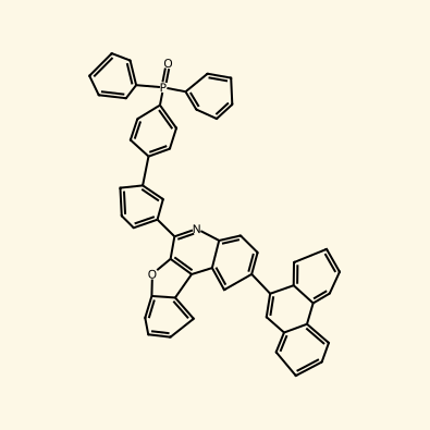 O=P(c1ccccc1)(c1ccccc1)c1ccc(-c2cccc(-c3nc4ccc(-c5cc6ccccc6c6ccccc56)cc4c4c3oc3ccccc34)c2)cc1